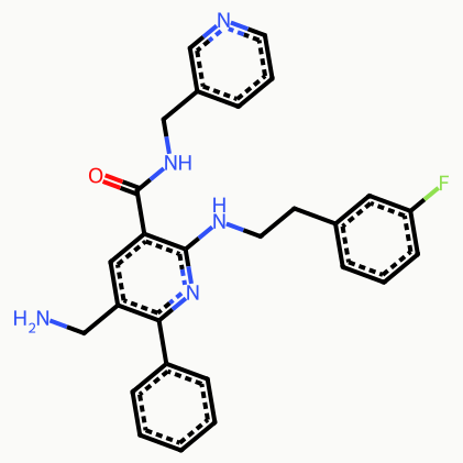 NCc1cc(C(=O)NCc2cccnc2)c(NCCc2cccc(F)c2)nc1-c1ccccc1